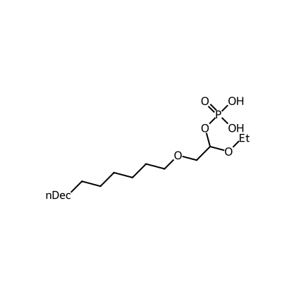 CCCCCCCCCCCCCCCCOCC(OCC)OP(=O)(O)O